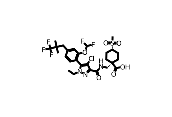 CCn1nc(C(=O)NC[C@]2(C(=O)O)CC[C@H](S(C)(=O)=O)CC2)c(Cl)c1-c1ccc(CC(C)(C)C(F)(F)F)cc1OC(F)F